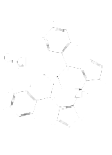 CCC(C1=[C]([Zr+2][C]2=C(C(CC)c3ccccc3)C=CC2)CC=C1)c1ccccc1.[Cl-].[Cl-]